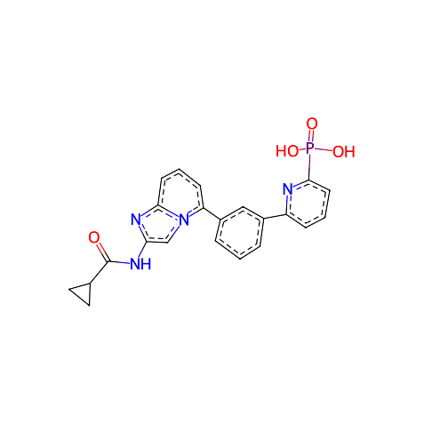 O=C(Nc1cn2c(-c3cccc(-c4cccc(P(=O)(O)O)n4)c3)cccc2n1)C1CC1